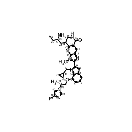 C[C@H](COc1cccc2cc(-c3nc4cc5c(nc4n3C)C(C[C@H](N)CF)CNC5=O)n(CC3CC3)c12)n1cnc(F)c1